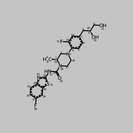 C[C@H]1CN(c2ccc(C[C@H](O)CO)cc2F)CCN1C(=O)Nc1nc2ccc(F)cc2s1